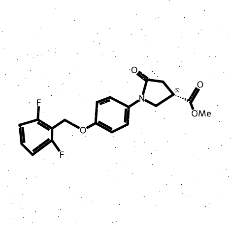 COC(=O)[C@H]1CC(=O)N(c2ccc(OCc3c(F)cccc3F)cc2)C1